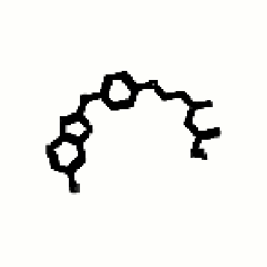 CN(CCOc1ccc(Oc2nc3ncc(Cl)cc3s2)cc1)CC(N)=O